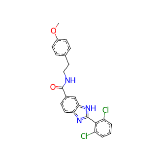 COc1ccc(CCNC(=O)c2ccc3nc(-c4c(Cl)cccc4Cl)[nH]c3c2)cc1